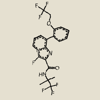 CC(C)(NC(=O)c1nc2c(-c3ccccc3OCC(F)(F)F)cccn2c1F)C(F)(F)F